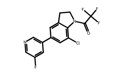 O=C(N1CCc2cc(-c3cncc(F)c3)cc(Cl)c21)C(F)(F)F